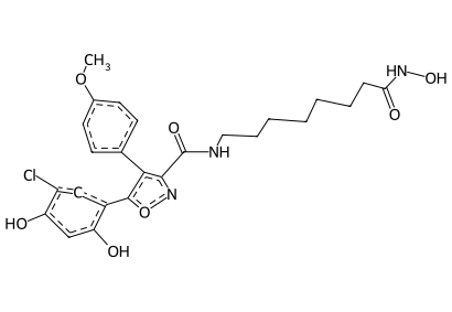 COc1ccc(-c2c(C(=O)NCCCCCCCC(=O)NO)noc2-c2cc(Cl)c(O)cc2O)cc1